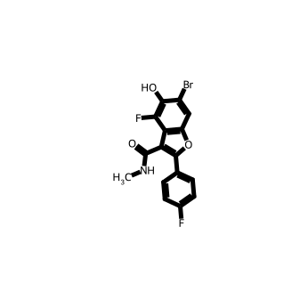 CNC(=O)c1c(-c2ccc(F)cc2)oc2cc(Br)c(O)c(F)c12